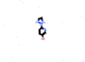 Brc1ccc(-n2nccn2)nc1